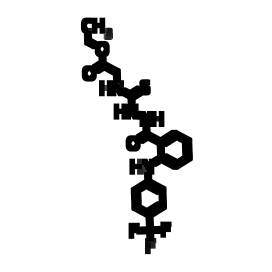 CCOC(=O)CNC(=S)NNC(=O)c1ccccc1Nc1ccc(C(F)(F)F)cc1